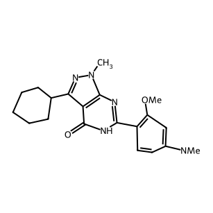 CNc1ccc(-c2nc3c(c(C4CCCCC4)nn3C)c(=O)[nH]2)c(OC)c1